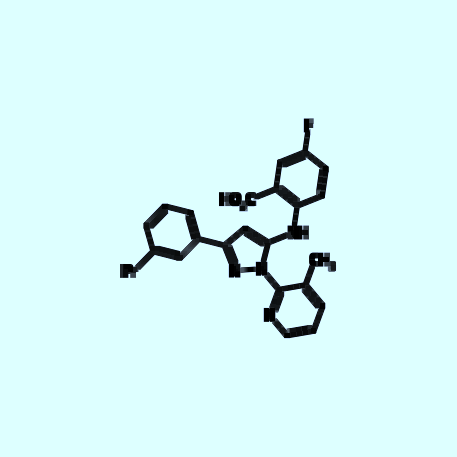 Cc1cccnc1-n1nc(-c2cccc(C(C)C)c2)cc1Nc1ccc(F)cc1C(=O)O